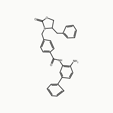 Nc1ccc(-c2ccccc2)cc1NC(=O)c1ccc(CN2C(=O)OCC2Cc2ccccc2)cc1